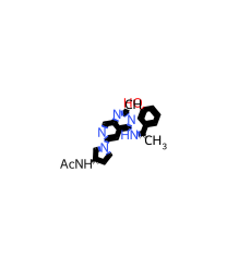 CC(=O)N[C@@H]1CCN(c2cc3c(N[C@H](C)c4cccc(O)c4)nc(C)nc3cn2)C1